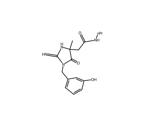 CCCNC(=O)CC1(C)NC(=N)N(Cc2cccc(O)c2)C1=O